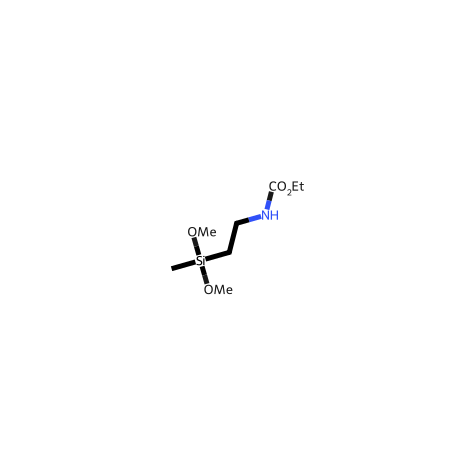 CCOC(=O)NCC[Si](C)(OC)OC